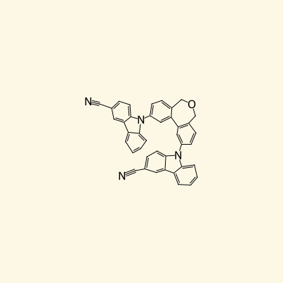 N#Cc1ccc2c(c1)c1ccccc1n2-c1ccc2c(c1)-c1cc(-n3c4ccccc4c4cc(C#N)ccc43)ccc1COC2